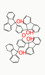 OC1(c2ccc(Oc3ccc(C4(O)c5ccccc5-c5ccccc54)cc3C3(O)c4ccccc4-c4ccccc43)c(C3(O)c4ccccc4-c4ccccc43)c2)C2=C(CCC=C2)c2ccccc21